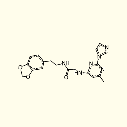 Cc1cc(NCC(=O)NCCc2ccc3c(c2)OCO3)nc(-n2ccnc2)n1